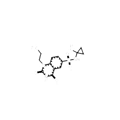 CC1(NS(=O)(=O)c2ccc3c(c2)c(=O)[nH]c(=O)n3CCC(F)(F)F)CC1